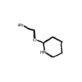 C[C](C)COC1CCCCN1